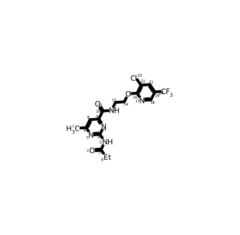 CCC(=O)Nc1nc(C)cc(C(=O)NCCOc2ncc(C(F)(F)F)cc2Cl)n1